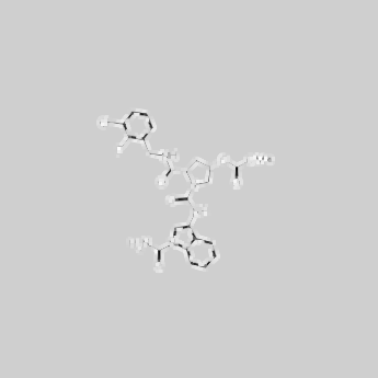 COC(=O)O[C@H]1C[C@@H](C(=O)NCc2cccc(Cl)c2F)N(C(=O)Nc2cn(C(N)=O)c3ccccc23)C1